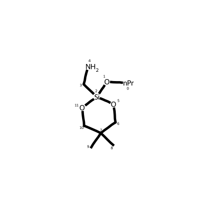 CCCO[Si]1(CN)OCC(C)(C)CO1